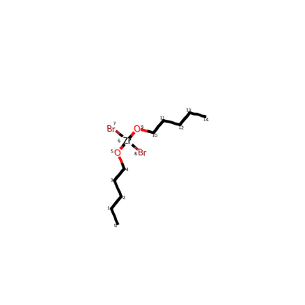 CCCCC[O][Zr]([Br])([Br])[O]CCCCC